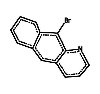 Brc1c2ccccc2cc2cccnc12